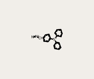 C=[N+]=[N-].c1ccc([S+](c2ccccc2)c2ccccc2)cc1